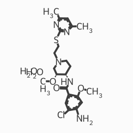 COc1cc(N)c(Cl)cc1C(=O)N[C@H]1CCN(CCSc2nc(C)cc(C)n2)C[C@H]1OC.O.O